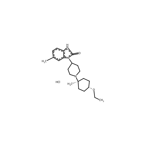 CCO[C@H]1CC[C@](C)(N2CCC(n3c(=O)[nH]c4ccc(C)cc43)CC2)CC1.Cl